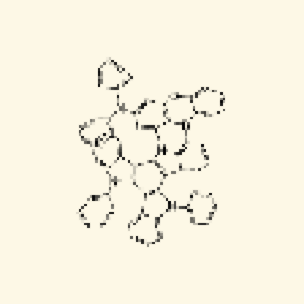 c1ccc(N(c2ccccc2)c2cc3c4c(c2)-n2c5c(cccc5c5c6c(c7ccccc7n6-c6ccccc6)c6c(c7ccccc7n6-c6ccccc6)c52)B4c2ccccc2O3)cc1